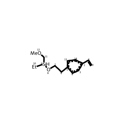 C=Cc1ccc(CCO[SiH](CC)COC)cc1